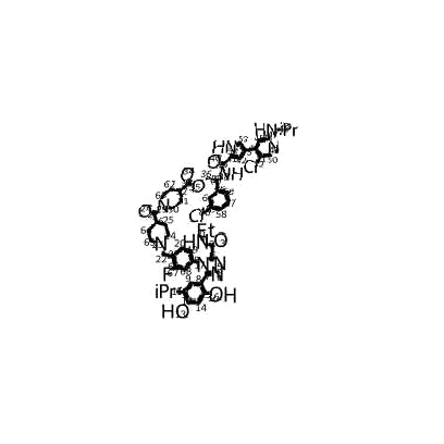 CCNC(=O)c1nnc(-c2cc(C(C)C)c(O)cc2O)n1-c1ccc(CN2CCC(C(=O)N3CCC(C(=O)OC[C@@H](NC(=O)c4cc(-c5cc(NC(C)C)ncc5Cl)c[nH]4)c4cccc(Cl)c4)CC3)CC2)c(F)c1